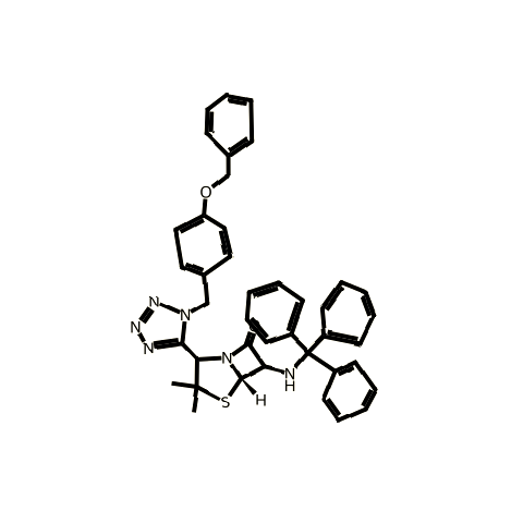 CC1(C)S[C@H]2C(NC(c3ccccc3)(c3ccccc3)c3ccccc3)C(=O)N2C1c1nnnn1Cc1ccc(OCc2ccccc2)cc1